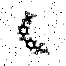 NS(=O)(=O)c1ccc(Nc2ccc(OC(F)(F)F)nc2)cc1